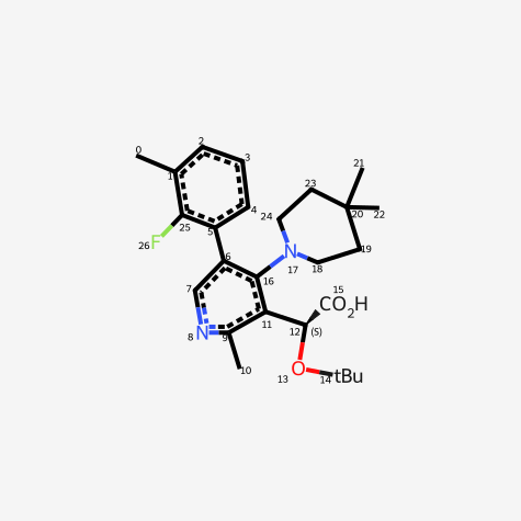 Cc1cccc(-c2cnc(C)c([C@H](OC(C)(C)C)C(=O)O)c2N2CCC(C)(C)CC2)c1F